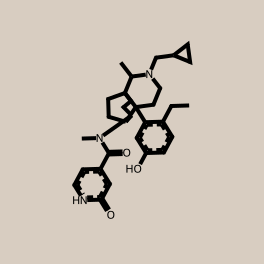 CCc1ccc(O)cc1C12CCN(CC3CC3)C(C)C13CCC(N(C)C(=O)c1cc[nH]c(=O)c1)C2CC3